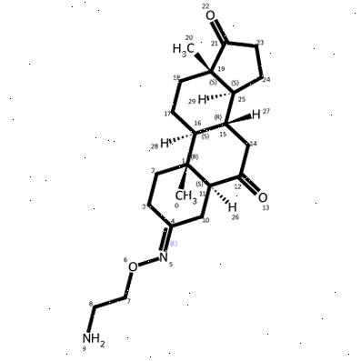 C[C@]12CC/C(=N\OCCN)C[C@@H]1C(=O)C[C@@H]1[C@@H]2CC[C@]2(C)C(=O)CC[C@@H]12